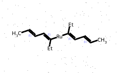 C/C=C/C=[C](\CC)[Ru]/[C](=C/C=C/C)CC